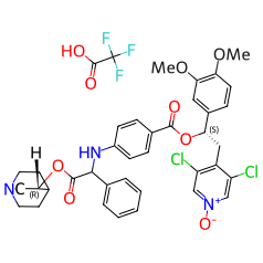 COc1ccc([C@H](Cc2c(Cl)c[n+]([O-])cc2Cl)OC(=O)c2ccc(NC(C(=O)O[C@H]3CN4CCC3CC4)c3ccccc3)cc2)cc1OC.O=C(O)C(F)(F)F